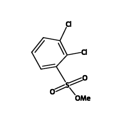 COS(=O)(=O)c1cccc(Cl)c1Cl